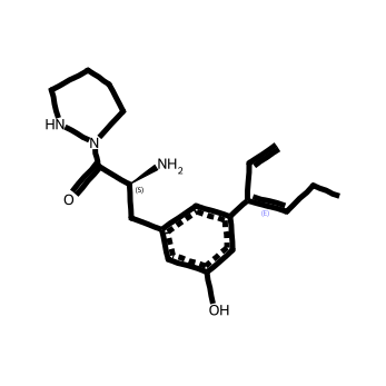 C=C/C(=C\CC)c1cc(O)cc(C[C@H](N)C(=O)N2CCCCN2)c1